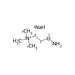 C[N+](C)(C)CCON.[NaH]